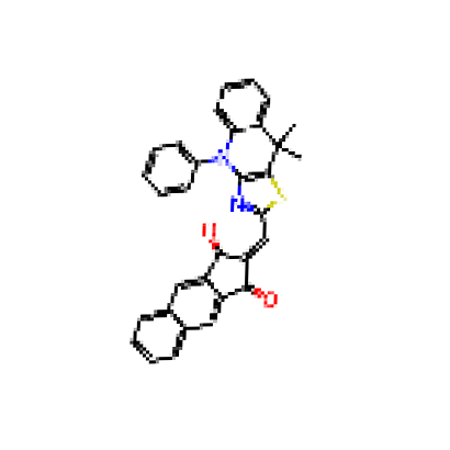 CC1(C)c2ccccc2N(c2ccccc2)c2nc(C=C3C(=O)c4cc5ccccc5cc4C3=O)sc21